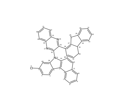 Clc1ccc2c3c4ccccc4ccc3n(-c3nc4ccccc4nc3C3=C4Sc5ccccc5C4CC=C3)c2c1